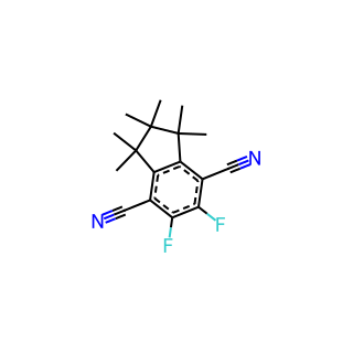 CC1(C)c2c(C#N)c(F)c(F)c(C#N)c2C(C)(C)C1(C)C